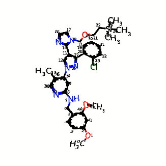 COc1ccc(CNc2cc(-n3cc(-c4nccn4COCC[Si](C)(C)C)c(-c4ccccc4Cl)n3)c(C)cn2)c(OC)c1